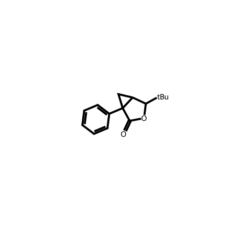 CC(C)(C)C1OC(=O)C2(c3ccccc3)CC12